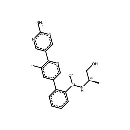 C[C@H](CO)N[S+]([O-])c1ccccc1-c1cnc(-c2cnc(N)nc2)c(F)c1